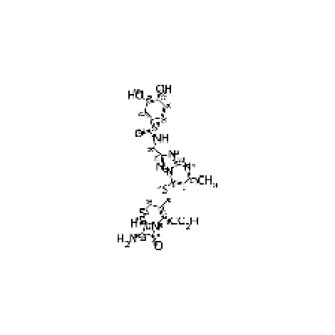 Cc1cc(SCC2=C(C(=O)O)N3C(=O)[C@@H](N)[C@H]3SC2)n2nc(CNC(=O)c3ccc(O)c(O)c3)nc2n1